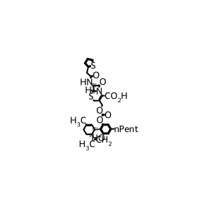 C=C(C)[C@@H]1CCC(C)=C[C@H]1c1c(O)cc(CCCCC)cc1OC(=O)OCC1=C(C(=O)O)N2C(=O)[C@@H](NC(=O)Cc3cccs3)[C@H]2SC1